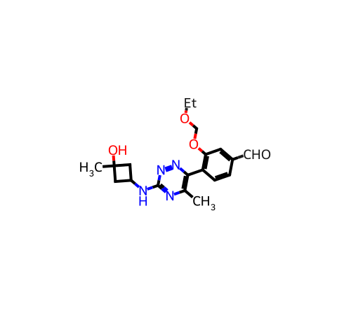 CCOCOc1cc(C=O)ccc1-c1nnc(NC2CC(C)(O)C2)nc1C